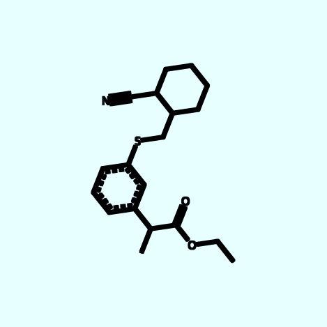 CCOC(=O)C(C)c1cccc(SCC2CCCCC2C#N)c1